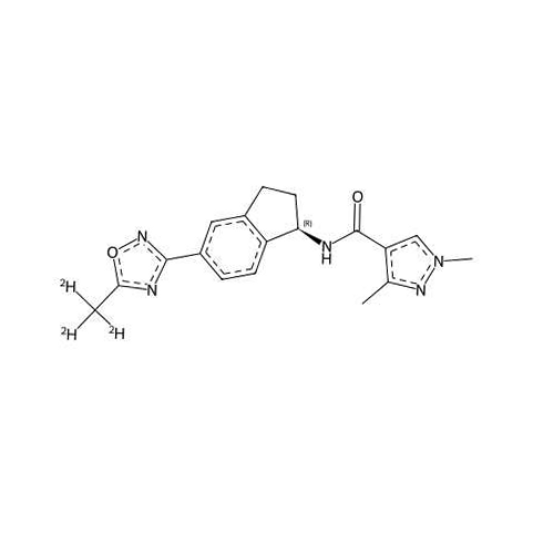 [2H]C([2H])([2H])c1nc(-c2ccc3c(c2)CC[C@H]3NC(=O)c2cn(C)nc2C)no1